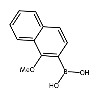 COc1c(B(O)O)ccc2ccccc12